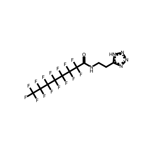 O=C(NCCc1nnn[nH]1)C(F)(F)C(F)(F)C(F)(F)C(F)(F)C(F)(F)C(F)(F)C(F)(F)F